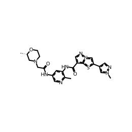 Cc1ncc(NC(=O)CN2CCO[C@@H](C)C2)cc1NC(=O)c1cnn2cc(-c3cnn(C)c3)sc12